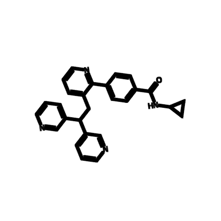 O=C(NC1CC1)c1ccc(-c2ncccc2CC(c2cccnc2)c2cccnc2)cc1